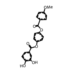 COc1ccc(C(=O)Oc2ccc(OC(=O)c3ccc(O)c(O)c3)cc2)cc1